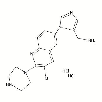 Cl.Cl.NCc1cncn1-c1ccc2nc(N3CCNCC3)c(Cl)cc2c1